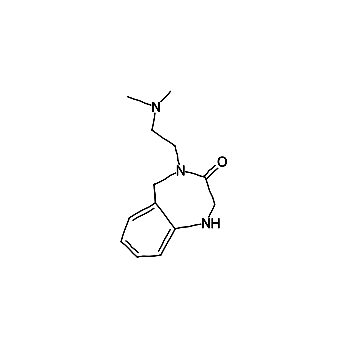 CN(C)CCN1Cc2ccccc2NCC1=O